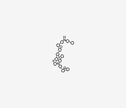 CC1(C)c2cc(-c3ccc4oc5c(-c6ccc(Nc7ccc(-c8ccccc8)cc7)cc6)cccc5c4c3)ccc2-c2cc3c(cc21)-c1c(N(c2ccc(-c4ccccc4)cc2)c2ccc(-c4cccc5c4oc4ccccc45)cc2)cccc1C3(C)C